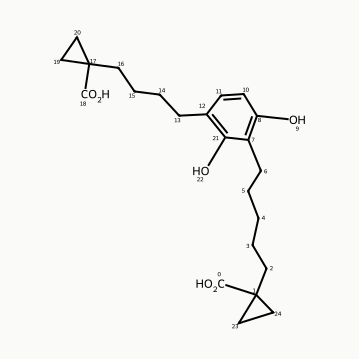 O=C(O)C1(CCCCCc2c(O)ccc(CCCCC3(C(=O)O)CC3)c2O)CC1